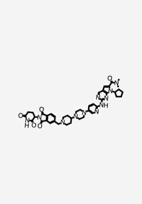 CN(C)C(=O)c1cc2cnc(Nc3ccc(N4CCN(C5CCN(Cc6ccc7c(c6)C(=O)N(C6CCC(=O)NC6=O)C7=O)CC5)CC4)cn3)nc2n1C1CCCC1